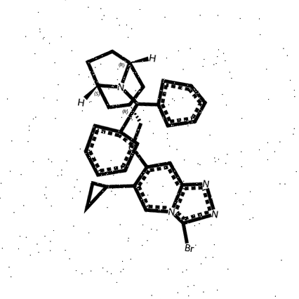 Brc1nnc2cc(OC[C@H]3C[C@H]4CC[C@@H](C3)N4C(c3ccccc3)c3ccccc3)c(C3CC3)cn12